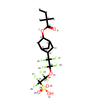 CCC(C)(C)C(=O)OC1CC2CC1CC2C(F)(F)C(F)(F)OC(F)(F)C(F)(F)S(=O)(=O)O